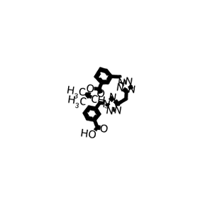 CC(C)(C)OC(=O)c1cccc(Cn2nnc(Cc3nnn(Cc4cccc(C(=O)O)c4)n3)n2)c1